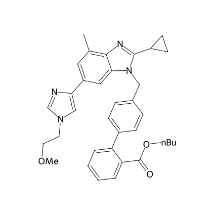 CCCCOC(=O)c1ccccc1-c1ccc(Cn2c(C3CC3)nc3c(C)cc(-c4cn(CCOC)cn4)cc32)cc1